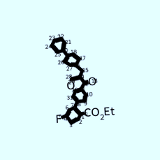 CCOC(=O)c1ccc(F)cc1-c1ccc2c(=O)c(Cc3ccc(-c4ccccc4)cc3)coc2c1